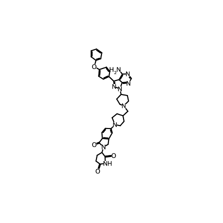 Nc1ncnc2c1c(-c1ccc(Oc3ccccc3)cc1)nn2C1CCN(CC2CCN(c3ccc4c(c3)CN(C3CCC(=O)NC3=O)C4=O)CC2)CC1